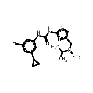 CC(C)N(C)Cc1csc(NC(=O)Nc2cc(Cl)cc(C3CC3)c2)n1